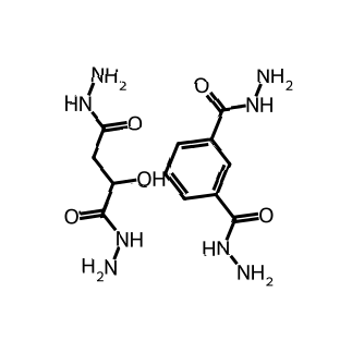 NNC(=O)CC(O)C(=O)NN.NNC(=O)c1cccc(C(=O)NN)c1